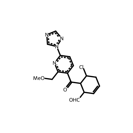 COCc1nc(-n2cncn2)ccc1C(=O)C1C(C=O)C=CCC1Cl